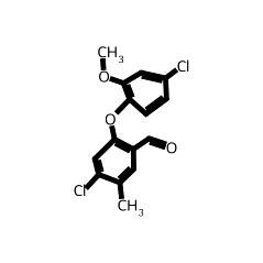 COc1cc(Cl)ccc1Oc1cc(Cl)c(C)cc1C=O